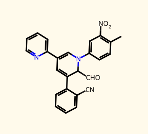 Cc1ccc(N2C=C(c3ccccn3)C=C(c3ccccc3C#N)C2C=O)cc1[N+](=O)[O-]